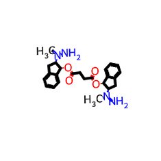 CN(N)[C@@H]1Cc2ccccc2[C@H]1OC(=O)CCC(=O)O[C@@H]1c2ccccc2C[C@H]1N(C)N